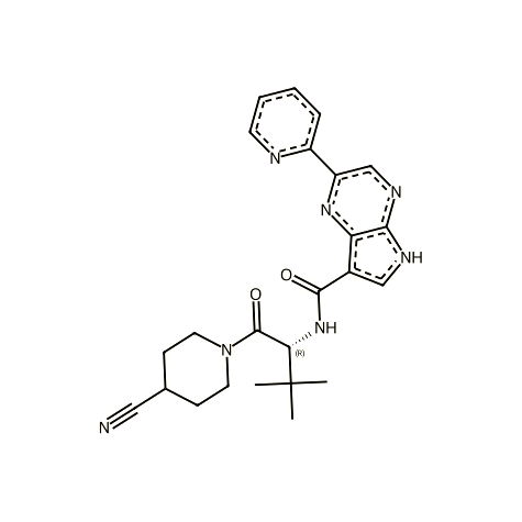 CC(C)(C)[C@@H](NC(=O)c1c[nH]c2ncc(-c3ccccn3)nc12)C(=O)N1CCC(C#N)CC1